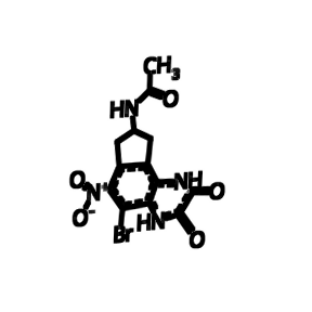 CC(=O)NC1Cc2c([N+](=O)[O-])c(Br)c3[nH]c(=O)c(=O)[nH]c3c2C1